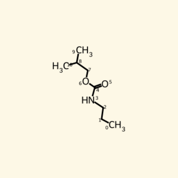 CCCNC(=O)OCC(C)C